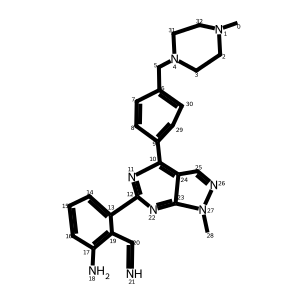 CN1CCN(Cc2ccc(-c3nc(-c4cccc(N)c4C=N)nc4c3cnn4C)cc2)CC1